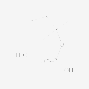 CCC(C)(C)OC(=O)O.O